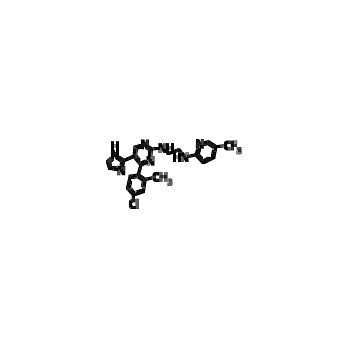 Cc1cc(Cl)ccc1-c1nc(NCCNc2ccc(C(F)(F)F)cn2)ncc1-c1ncc[nH]1